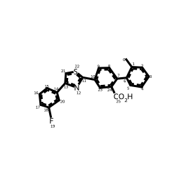 Cc1ccccc1-c1ccc(-c2nc(-c3cccc(F)c3)cs2)cc1C(=O)O